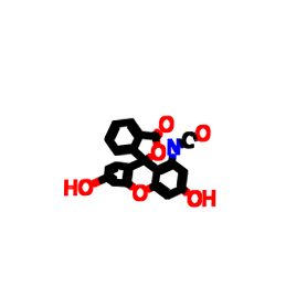 O=C=Nc1cc(O)cc2c1C1(OC(=O)c3ccccc31)c1ccc(O)cc1O2